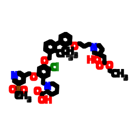 CCOC(=O)CC1(O)CCN(CCCOc2cccc(-c3cccc(COc4cc(OCc5cncc(S(C)(=O)=O)c5)c(CN5CCCC[C@H]5C(=O)O)cc4Cl)c3C)c2C)C1